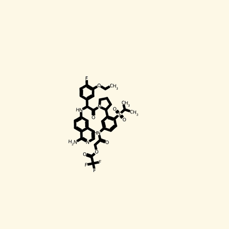 CCOc1cc(C(Nc2ccc3c(N)nccc3c2)C(=O)N2CCCC2c2cc(NC(=O)COC(=O)C(F)(F)F)ccc2S(=O)(=O)C(C)C)ccc1F